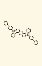 c1ccc(-c2ccc(-n3c4ccccc4c4c5c(ccc43)Cc3c(ccc4c3c3ccccc3n4-c3ccc(-c4ccccc4)cc3)C5)cc2)cc1